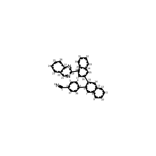 N#Cc1ccc(-c2cc3ccccc3cc2-c2cc(-c3ncc4ccccc4n3)c3ccccc3c2)cc1